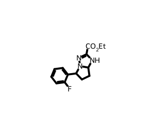 CCOC(=O)C1=NN2C(CCC2c2ccccc2F)N1